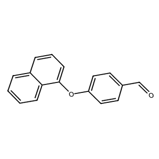 O=Cc1ccc(Oc2cccc3ccccc23)cc1